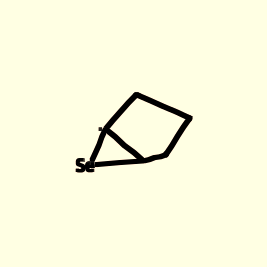 C1C[C]2[Se]C2C1